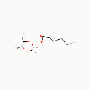 CCCCCC(=O)O[Si](C)(OCC)OCC